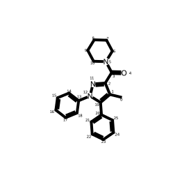 Cc1c(C(=O)N2CCCCC2)nn(-c2ccccc2)c1-c1ccccc1